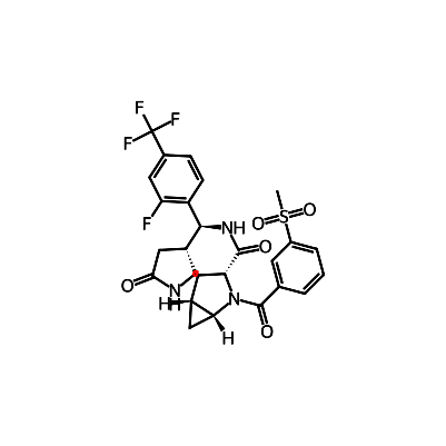 CS(=O)(=O)c1cccc(C(=O)N2[C@@H](C(=O)N[C@H](c3ccc(C(F)(F)F)cc3F)[C@@H]3CNC(=O)C3)C[C@H]3C[C@H]32)c1